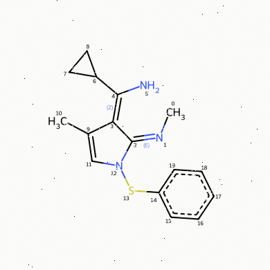 C/N=C1\C(=C(/N)C2CC2)C(C)=CN1Sc1ccccc1